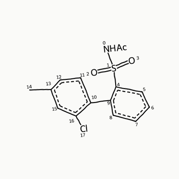 CC(=O)NS(=O)(=O)c1ccccc1-c1ccc(C)cc1Cl